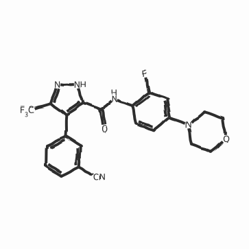 N#Cc1cccc(-c2c(C(F)(F)F)n[nH]c2C(=O)Nc2ccc(N3CCOCC3)cc2F)c1